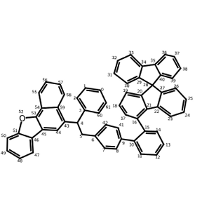 c1ccc(C(Cc2ccc(-c3ccccc3-c3cccc4c3-c3ccccc3C43c4ccccc4-c4ccccc43)cc2)c2cc3c4ccccc4oc3c3ccccc23)cc1